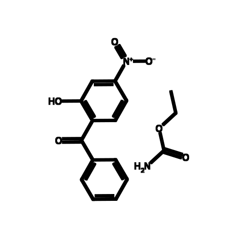 CCOC(N)=O.O=C(c1ccccc1)c1ccc([N+](=O)[O-])cc1O